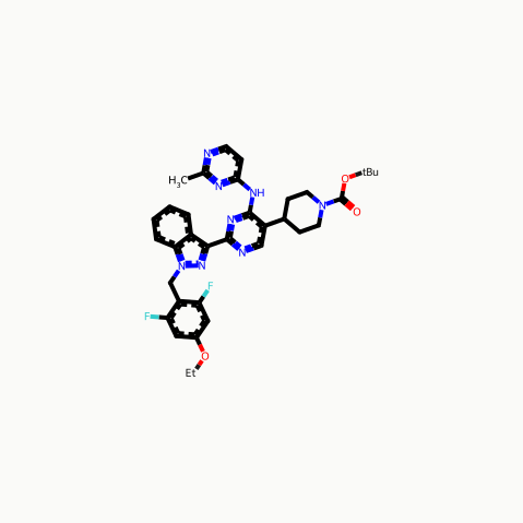 CCOc1cc(F)c(Cn2nc(-c3ncc(C4CCN(C(=O)OC(C)(C)C)CC4)c(Nc4ccnc(C)n4)n3)c3ccccc32)c(F)c1